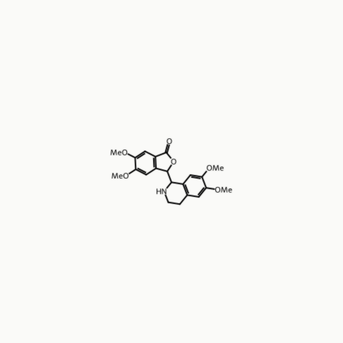 COc1cc2c(cc1OC)C(C1OC(=O)c3cc(OC)c(OC)cc31)NCC2